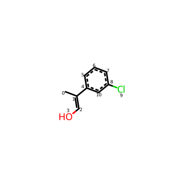 CC(=CO)c1cccc(Cl)c1